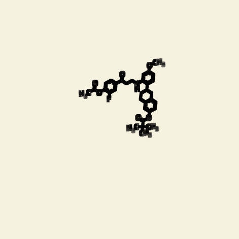 COc1ccc(C2CCc3cc(OC(=O)C(C)(C)C)ccc3C2)c(NCCC(=O)c2ccc(OC(C)=O)c(F)c2)c1